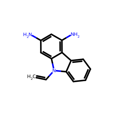 C=Cn1c2ccccc2c2c(N)cc(N)cc21